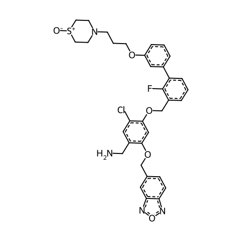 NCc1cc(Cl)c(OCc2cccc(-c3cccc(OCCCN4CC[S+]([O-])CC4)c3)c2F)cc1OCc1ccc2nonc2c1